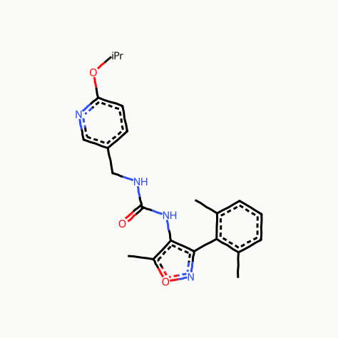 Cc1cccc(C)c1-c1noc(C)c1NC(=O)NCc1ccc(OC(C)C)nc1